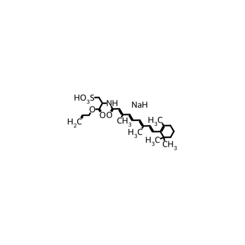 C=CCOC(=O)C(CS(=O)(=O)O)NC(=O)/C=C(C)/C=C/C=C(C)/C=C/C1=C(C)CCCC1(C)C.[NaH]